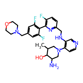 CC1CN(c2ccncc2NCc2ccc(F)c(-c3c(F)cc(CN4CCOCC4)cc3F)n2)CC(N)C1O